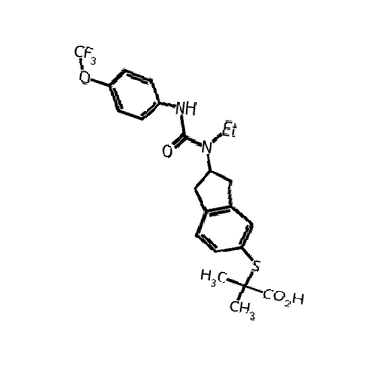 CCN(C(=O)Nc1ccc(OC(F)(F)F)cc1)C1Cc2ccc(SC(C)(C)C(=O)O)cc2C1